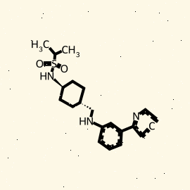 CC(C)S(=O)(=O)N[C@H]1CC[C@H](CNc2cccc(-c3ccccn3)c2)CC1